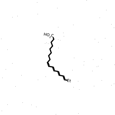 CC/C=C/C=C/C=C/C=C\CCCCCCCC(=O)O